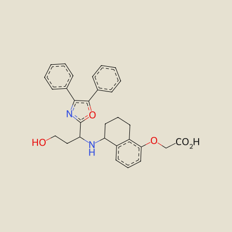 O=C(O)COc1cccc2c1CCCC2NC(CCO)c1nc(-c2ccccc2)c(-c2ccccc2)o1